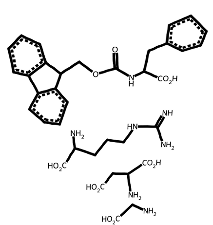 N=C(N)NCCCC(N)C(=O)O.NC(CC(=O)O)C(=O)O.NCC(=O)O.O=C(NC(Cc1ccccc1)C(=O)O)OCC1c2ccccc2-c2ccccc21